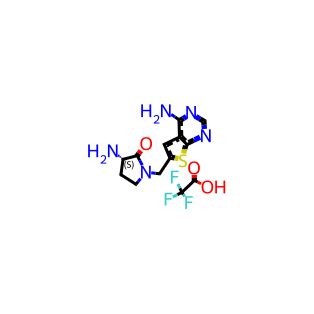 Nc1ncnc2sc(CN3CC[C@H](N)C3=O)cc12.O=C(O)C(F)(F)F